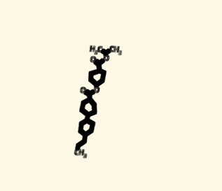 CCCC1CCC(C2CCC(C(=O)OC3CCC(C(=O)OC(C)C)CC3)CC2)CC1